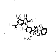 COc1cc(Cl)c(-n2c(=O)[nH]c3c(C)cc(C(=O)O)nc32)cc1S(=O)(=O)C(C)(C)c1ccccc1Cl